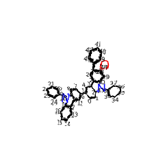 C1=CC2C(C=C1c1ccc3c(c1)c1ccccc1n3-c1ccccc1)c1cc3c(cc1N2C1=CCCCC1)oc1ccccc13